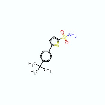 CC(C)(C)c1ccc(-c2ccc(S(N)(=O)=O)s2)cc1